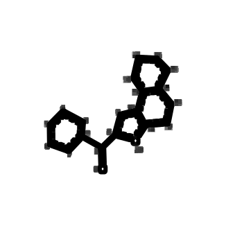 O=C(c1ccccc1)c1cc2c(ccc3ccccc32)o1